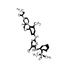 C=CC(=O)N1CCN2c3c(C)cc(Nc4ncc(Cl)c(Nc5ccccc5P(C)(C)=O)n4)cc3OC[C@@H]2C1